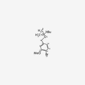 COc1cc(CO[Si](C)(C)C(C)(C)C)ccc1Br